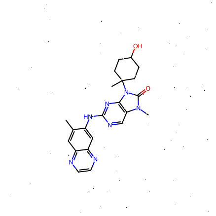 Cc1cc2nccnc2cc1Nc1ncc2c(n1)n(C1(C)CCC(O)CC1)c(=O)n2C